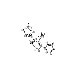 N#Cc1c(-c2ccccc2)ccnc1N1CC[C@H](F)C1